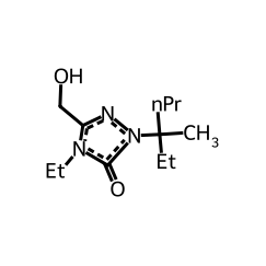 CCCC(C)(CC)n1nc(CO)n(CC)c1=O